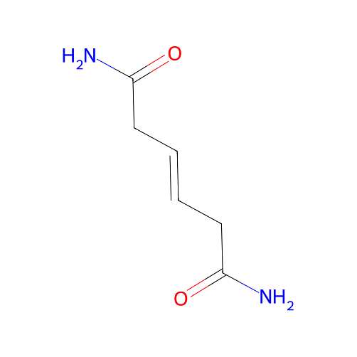 NC(=O)CC=CCC(N)=O